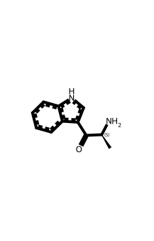 C[C@H](N)C(=O)c1c[nH]c2ccccc12